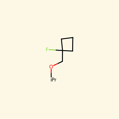 CC(C)OCC1(F)CCC1